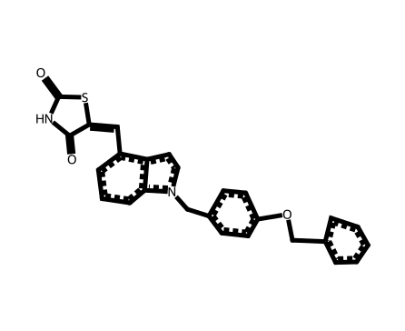 O=C1NC(=O)C(=Cc2cccc3c2ccn3Cc2ccc(OCc3ccccc3)cc2)S1